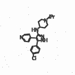 CC(C)N1CCC(Nc2n[nH]c(-c3ccc(Cl)cc3)c2-c2ccncc2)CC1